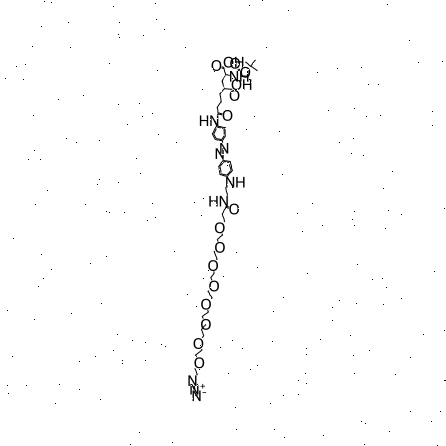 CC(C)(C)OC(=O)N[C@@H](C[C@H](CCCC(=O)Nc1ccc(N=Nc2ccc(NCCNC(=O)CCOCCOCCOCCOCCOCCOCCOCCOCCN=[N+]=[N-])cc2)cc1)C(=O)O)C(=O)O